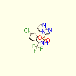 O=S(=O)(NC(c1ccc(Cl)cc1)C(F)(F)F)c1cnc2ncccn12